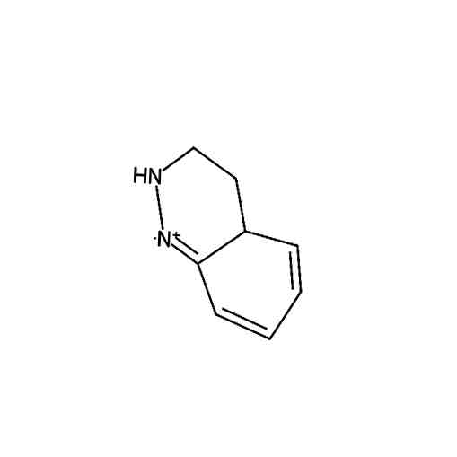 C1=CC2=[N+]NCCC2C=C1